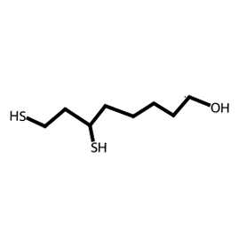 O[CH]CCCCC(S)CCS